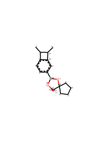 CC1c2ccc(B3OC4(CCCC4)C4(CCCC4)O3)cc2C1C